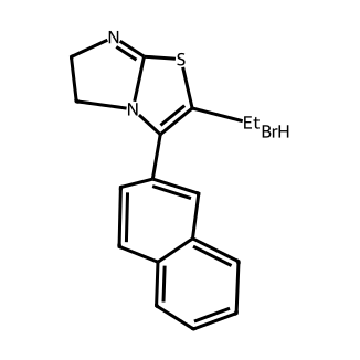 Br.CCC1=C(c2ccc3ccccc3c2)N2CCN=C2S1